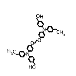 CCc1ccc(N(c2ccc(CO)cc2)c2ccc(OCCOc3ccc(N(c4ccc(CC)cc4)c4ccc(CO)cc4)cc3)cc2)cc1